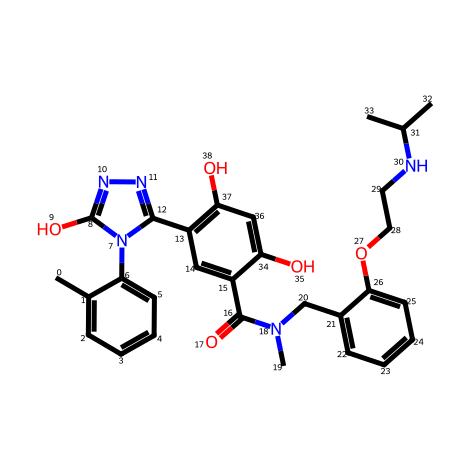 Cc1ccccc1-n1c(O)nnc1-c1cc(C(=O)N(C)Cc2ccccc2OCCNC(C)C)c(O)cc1O